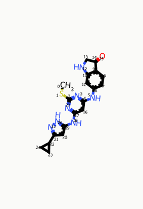 CSc1nc(Nc2ccc3c(c2)NCC3=O)cc(Nc2cc(C3CC3)n[nH]2)n1